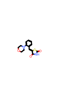 O=C1NC(=O)/C(=C/c2ccccc2N2CCOCC2)S1